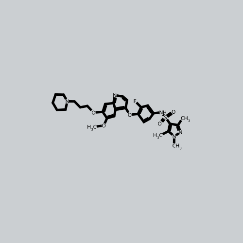 COc1cc2c(Oc3ccc(NS(=O)(=O)c4c(C)nn(C)c4C)cc3F)ccnc2cc1OCCCN1CCCCC1